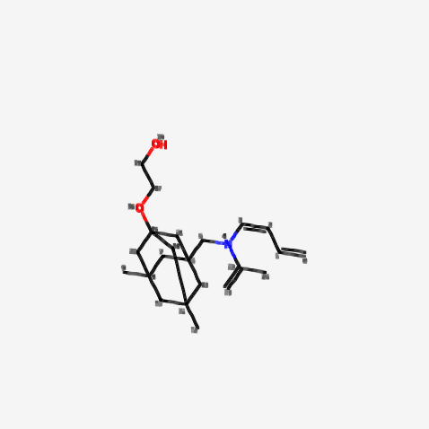 C=C/C=C\N(CC12CC3(C)CC(C)(C1)CC(OCCO)(C3)C2)C(=C)C